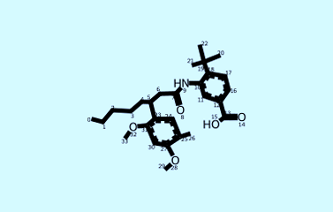 CCCCCC(CC(=O)Nc1cc(C(=O)O)ccc1C(C)(C)C)c1cc(C)c(OC)cc1OC